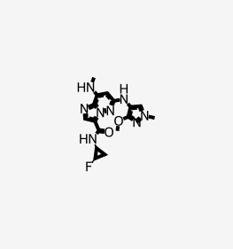 CNc1cc(Nc2cn(C)nc2OC)nn2c(C(=O)N[C@@H]3C[C@@H]3F)cnc12